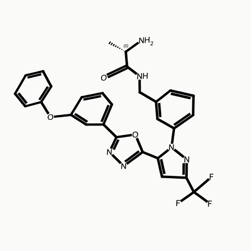 C[C@H](N)C(=O)NCc1cccc(-n2nc(C(F)(F)F)cc2-c2nnc(-c3cccc(Oc4ccccc4)c3)o2)c1